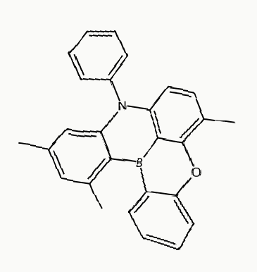 Cc1cc(C)c2c(c1)N(c1ccccc1)c1ccc(C)c3c1B2c1ccccc1O3